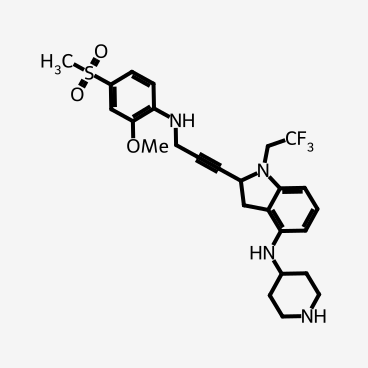 COc1cc(S(C)(=O)=O)ccc1NCC#CC1Cc2c(NC3CCNCC3)cccc2N1CC(F)(F)F